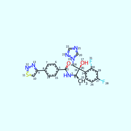 C[C@@H](NC(=O)c1ccc(-c2csnn2)cc1)[C@](O)(Cn1cncn1)c1ccc(F)cc1F